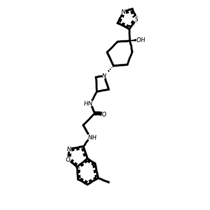 Cc1ccc2onc(NCC(=O)NC3CN([C@H]4CC[C@@](O)(c5cncs5)CC4)C3)c2c1